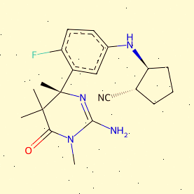 CN1C(=O)C(C)(C)[C@](C)(c2cc(N[C@H]3CCC[C@@H]3C#N)ccc2F)N=C1N